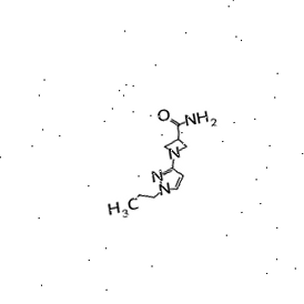 CCCn1ccc(N2CC(C(N)=O)C2)n1